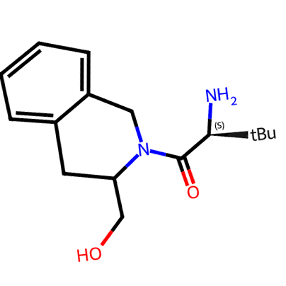 CC(C)(C)[C@H](N)C(=O)N1Cc2ccccc2CC1CO